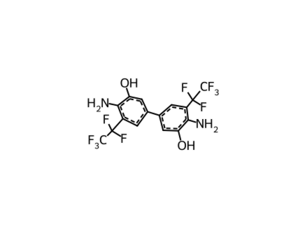 Nc1c(O)cc(-c2cc(O)c(N)c(C(F)(F)C(F)(F)F)c2)cc1C(F)(F)C(F)(F)F